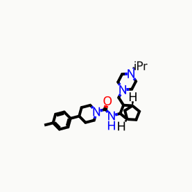 Cc1ccc(C2CCN(C(=O)NC3C(CN4CCN(C(C)C)CC4)[C@@H]4CC[C@H]3C4)CC2)cc1